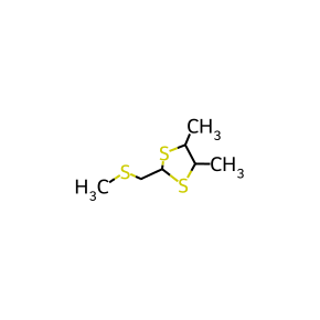 CSCC1SC(C)C(C)S1